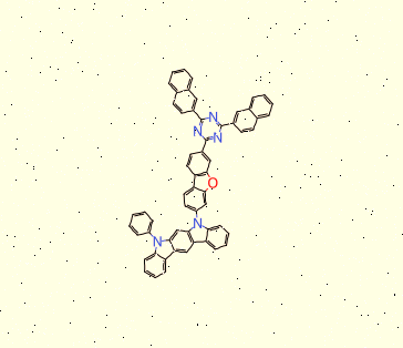 c1ccc(-n2c3ccccc3c3cc4c5ccccc5n(-c5ccc6c(c5)oc5cc(-c7nc(-c8ccc9ccccc9c8)nc(-c8ccc9ccccc9c8)n7)ccc56)c4cc32)cc1